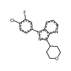 Fc1cc(-n2nc(C3CCOCC3)c3ncccc32)ccc1Cl